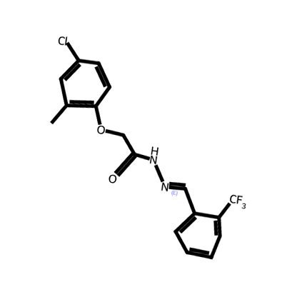 Cc1cc(Cl)ccc1OCC(=O)N/N=C/c1ccccc1C(F)(F)F